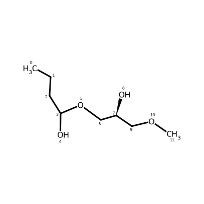 CCCC(O)OC[C@@H](O)COC